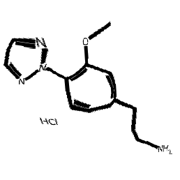 COc1cc(CCN)ccc1-n1nccn1.Cl